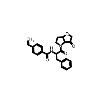 C=Cc1ccc(C(=O)NC(Cc2ccccc2)C(=O)N2CCC3OCC(=O)C32)cc1